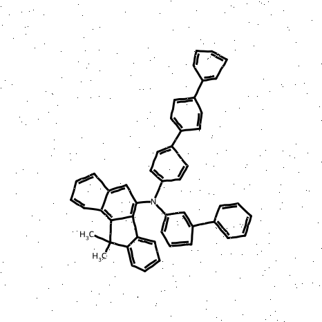 CC1(C)c2ccccc2-c2c(N(c3ccc(-c4ccc(-c5ccccc5)cc4)cc3)c3cccc(-c4ccccc4)c3)cc3ccccc3c21